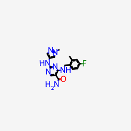 Cc1cc(F)ccc1CNc1nc(Nc2cnn(C)c2)ncc1C(N)=O